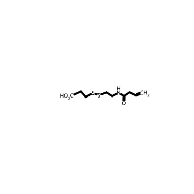 C=CCC(=O)NCCSSCCC(=O)O